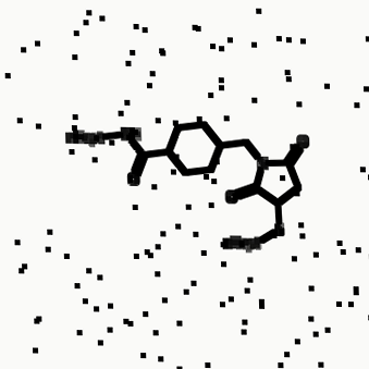 CCCCCCCNC(=O)C1CCC(CN2C(=O)CC(SCCCCCCC)C2=O)CC1